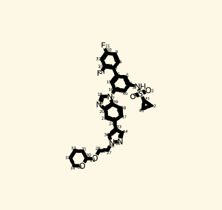 O=S(=O)(Nc1cc(-c2ccc(F)cc2F)cc(-n2cnc3cc(-c4cnn(CCOC5CCCCO5)c4)ccc32)c1)C1CC1